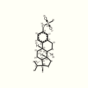 CC(C)[C@@]1(C)CC[C@H]2[C@@H]3CCc4cc(OS(C)(=O)=O)ccc4[C@H]3CC[C@@]21C